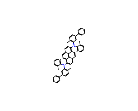 Cc1ccc(-c2ccccc2)cc1N(c1c(C)cccc1C)c1ccc2ccc3c(N(c4cc(-c5ccccc5)ccc4C)c4c(C)cccc4C)ccc4ccc1c2c43